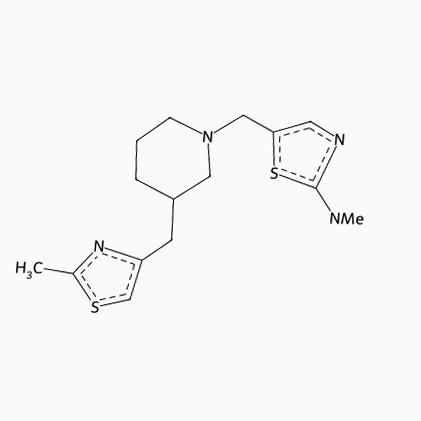 CNc1ncc(CN2CCCC(Cc3csc(C)n3)C2)s1